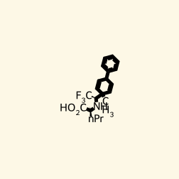 CCC[C@H](N[C@H](C(F)(F)F)C1(C)C=CC(c2ccccc2)C=C1)C(=O)O